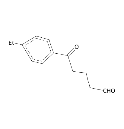 CCc1ccc(C(=O)CCCC=O)cc1